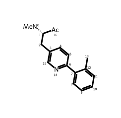 CN[C@@H](Cc1ccc(-c2ccccc2C)nc1)C(C)=O